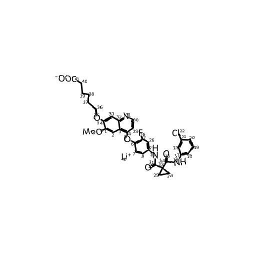 COc1cc2c(Oc3ccc(NC(=O)C4(C(=O)Nc5cccc(Cl)c5)CC4)cc3F)ccnc2cc1OCCCCCC(=O)[O-].[Li+]